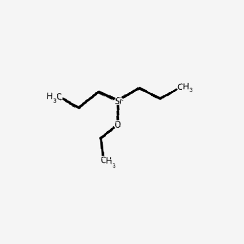 CCC[Si](CCC)OCC